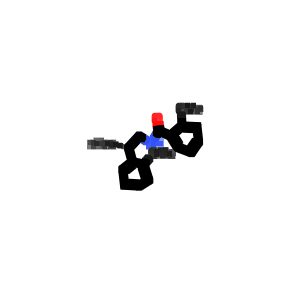 CCCCCC[C@H](CNC(=O)c1ccccc1OC)c1ccccc1OC